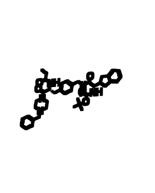 CCC(=O)N[C@H](Cc1ccc(CNC(=O)[C@@H](NC(=O)OC(C)(C)C)C2Cc3ccccc3C2)cc1)C(=O)N1CCN(Cc2ccccc2)CC1